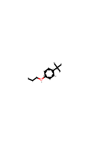 CCCOc1ccc(C(C)(C)C)cc1